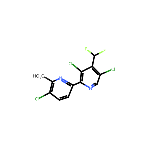 O=C(O)c1nc(-c2ncc(Cl)c(C(F)F)c2Cl)ccc1Cl